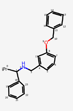 CC(C)C(NCc1cccc(OCc2ccccc2)c1)c1ccccc1